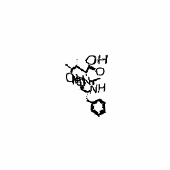 CC(N[C@@H](C=O)Cc1ccccc1)N[C@@H](C(=O)O)[C@@H](C)[C@H](C)O